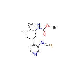 CC(=O)O[C@H]1[C@@H](NC(=O)OC(C)(C)C)C[C@H](c2ccncc2N=C=S)C[C@@H]1C